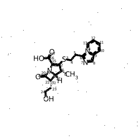 C[C@H]1C(SCCc2ncc3ccccn23)=C(C(=O)O)N2C(=O)[C@@H](CCO)[C@@H]12